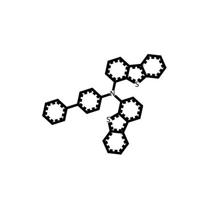 c1ccc(-c2ccc(N(c3cccc4c3sc3ccccc34)c3cccc4c3sc3ccccc34)cc2)cc1